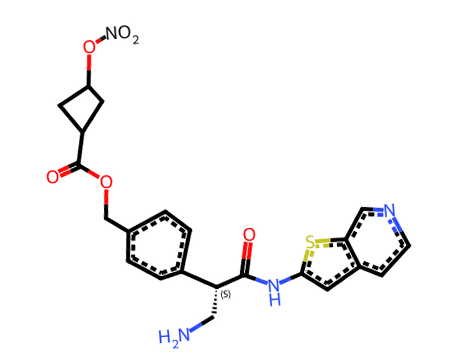 NC[C@@H](C(=O)Nc1cc2ccncc2s1)c1ccc(COC(=O)C2CC(O[N+](=O)[O-])C2)cc1